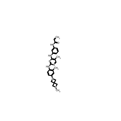 C=CC(=O)Nc1cccc(Nc2nc(Nc3ccc(N4CC5(CN(C)C5)C4)cc3C)ncc2C)c1